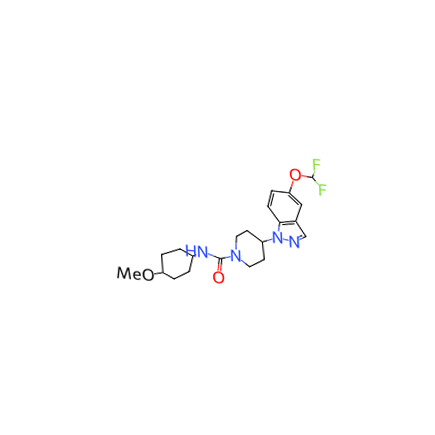 COC1CCC(NC(=O)N2CCC(n3ncc4cc(OC(F)F)ccc43)CC2)CC1